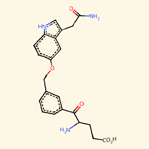 NC(=O)Cc1c[nH]c2ccc(OCc3cccc(C(=O)C(N)CCC(=O)O)c3)cc12